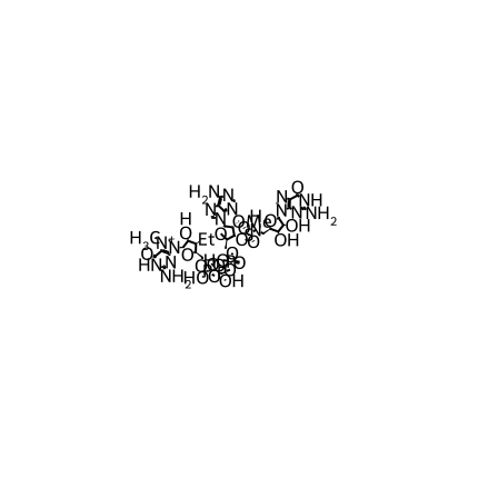 CC[C@H]1[C@@H](O)[C@H](n2c[n+](C)c3c(=O)[nH]c(N)nc32)O[C@@H]1COP(=O)(O)OP(=O)(O)OP(=O)(O)OC[C@H]1O[C@@H](n2cnc3c(N)ncnc32)[C@H](OC)[C@@H]1OS(=O)(=O)NC[C@H]1O[C@@H](n2cnc3c(=O)[nH]c(N)nc32)[C@H](O)[C@@H]1O